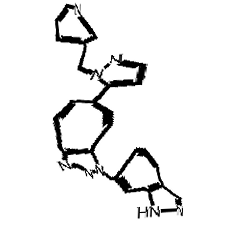 c1cncc(Cn2nccc2-c2ccc3nnn(-c4ccc5cn[nH]c5c4)c3c2)c1